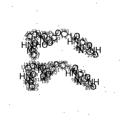 Cc1c(OC2CCC(CCC(=O)Nc3cccc4c(C5CCC(=O)NC5=O)nn(C)c34)CC2)cccc1-c1ccc(N2CCc3cccc(C(=O)Nc4nc5ccccc5s4)c3C2)nc1C(=O)O.Cc1c(OC2CCC(CCC(=O)Nc3cccc4c(C5CCC(=O)NC5=O)nn(C)c34)CC2)cccc1-c1ccc(N2CCc3cccc(C(=O)Nc4nc5ccccc5s4)c3C2)nc1C(=O)OC(C)(C)C